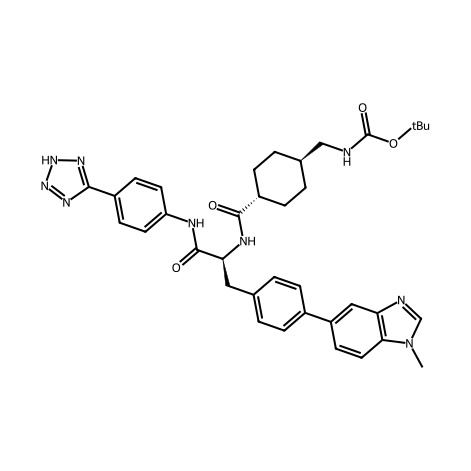 Cn1cnc2cc(-c3ccc(C[C@H](NC(=O)[C@H]4CC[C@H](CNC(=O)OC(C)(C)C)CC4)C(=O)Nc4ccc(-c5nn[nH]n5)cc4)cc3)ccc21